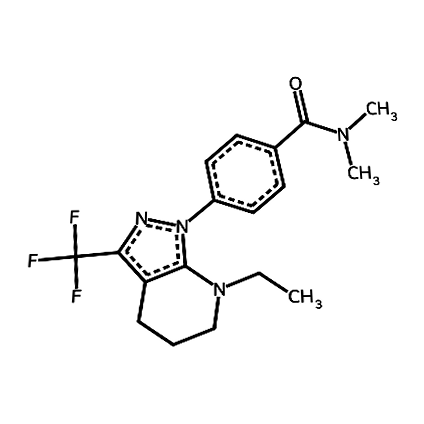 CCN1CCCc2c(C(F)(F)F)nn(-c3ccc(C(=O)N(C)C)cc3)c21